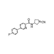 N#CN1CCC(NC(=O)c2ccc(-c3ccc(F)cc3)cn2)C1